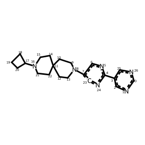 c1ncc(-c2ncc(N3CCC4(CC3)CCN(C3CCC3)CC4)cn2)cn1